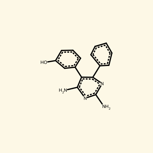 Nc1nc(N)c(-c2cccc(O)c2)c(-c2ccccc2)n1